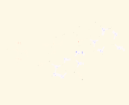 Nc1nc2c(nnn2[C@@H]2O[C@H](COP(O)(O)=S)CC2OP(O)(=S)OC[C@@H]2C[C@H](F)[C@H](n3cnc4c(N)ncnc43)O2)c(=O)[nH]1